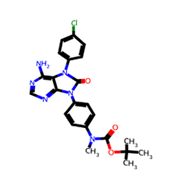 CN(C(=O)OC(C)(C)C)c1ccc(-n2c(=O)n(-c3ccc(Cl)cc3)c3c(N)ncnc32)cc1